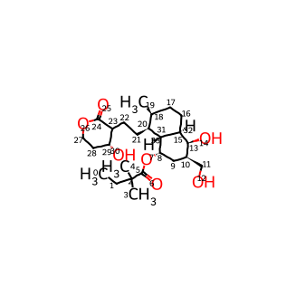 CCC(C)(C)C(=O)O[C@H]1C[C@H](CO)[C@H](O)[C@@H]2CC[C@H](C)[C@H](CCC3C(=O)OCC[C@H]3O)[C@H]21